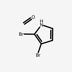 Brc1cc[nH]c1Br.C=O